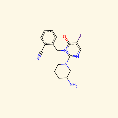 N#Cc1ccccc1Cn1c(N2CCCC(N)C2)ncc(I)c1=O